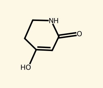 O=C1C=C(O)CCN1